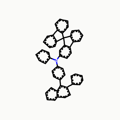 c1ccc(-c2ccc3ccccc3c2-c2ccc(N(c3ccccc3)c3ccc4c(c3)C3(c5ccccc5-c5ccccc53)c3ccccc3-4)cc2)cc1